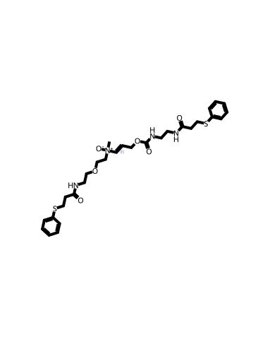 C[N+]([O-])(/C=C/COC(=O)NCCNC(=O)CCSc1ccccc1)CCOCCNC(=O)CCSc1ccccc1